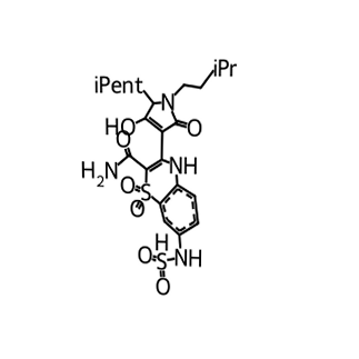 CCCC(C)C1C(O)=C(C2=C(C(N)=O)S(=O)(=O)c3cc(N[SH](=O)=O)ccc3N2)C(=O)N1CCC(C)C